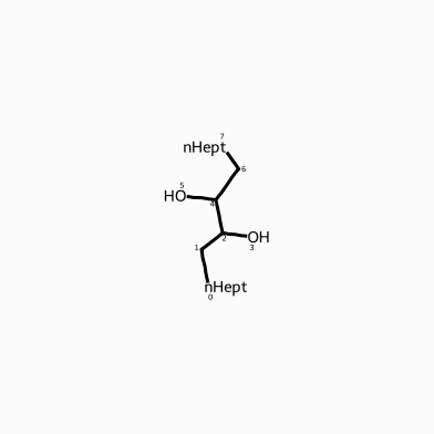 [CH2]CCCCCCCC(O)C(O)CCCCCCCC